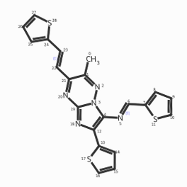 Cc1nn2c(/N=C/c3cccs3)c(-c3cccs3)nc2nc1/C=C/c1cccs1